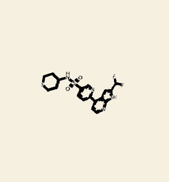 O=S(=O)(NC1CCSCC1)c1ccc(-c2ccnc3[nH]c(C(F)F)cc23)nc1